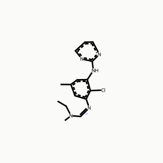 CCN(C)/C=N\c1cc(C)cc(Nc2ncccn2)c1Cl